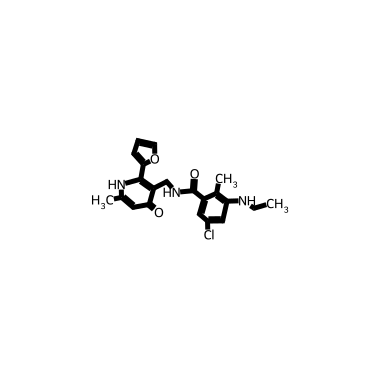 CCNc1cc(Cl)cc(C(=O)NCc2c(-c3ccco3)[nH]c(C)cc2=O)c1C